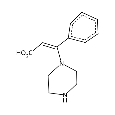 O=C(O)C=C(c1ccccc1)N1CCNCC1